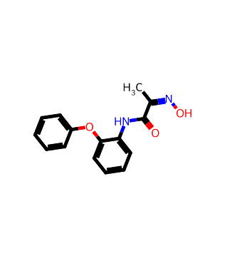 C/C(=N/O)C(=O)Nc1ccccc1Oc1ccccc1